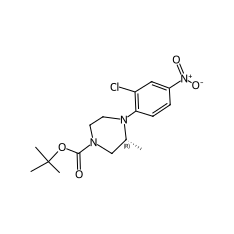 C[C@@H]1CN(C(=O)OC(C)(C)C)CCN1c1ccc([N+](=O)[O-])cc1Cl